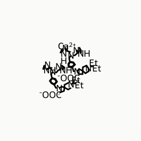 CCC(CC)N1CCC2(CC1)C[C@H](C(=O)[O-])N(Cc1ccc(CN(Cc3ncc[nH]3)Cc3ncc[nH]3)cc1)C2.CCC(CC)N1CCC2(CC1)C[C@H](C(=O)[O-])N(Cc1ccc(CN(Cc3ncc[nH]3)Cc3ncc[nH]3)cc1)C2.[Ca+2]